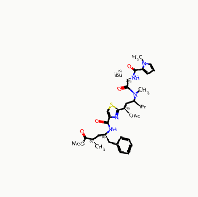 CC[C@H](C)[C@H](NC(=O)c1cccn1C)C(=O)N(C)C(C[C@@H](OC(C)=O)c1nc(C(=O)N[C@@H](Cc2ccccc2)C[C@H](C)C(=O)OC)cs1)C(C)C